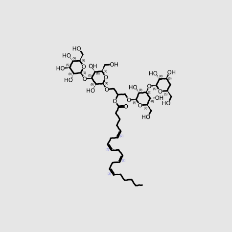 CCCCC/C=C\C/C=C\C/C=C\C/C=C\CCCC(=O)OC(CO[C@@H]1O[C@H](CO)[C@@H](O)[C@H](O[C@@H]2O[C@H](CO)[C@@H](O)[C@H](O)[C@H]2O)[C@H]1O)CO[C@@H]1O[C@H](CO)[C@@H](O)[C@H](O[C@@H]2O[C@H](CO)C[C@H](O)[C@H]2O)[C@H]1O